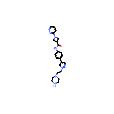 O=C(Nc1ccc(-c2cnn(CCN3CCNCC3)c2)cc1)C1CN(c2cccnn2)C1